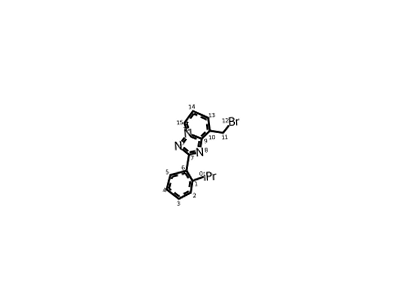 CC(C)c1ccccc1-c1nc2c(CBr)cccn2n1